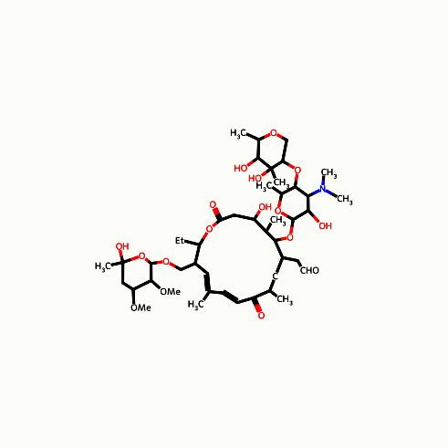 CCC1OC(=O)CC(O)C(C)C(OC2OC(C)C(OC3COC(C)C(O)C3(C)O)C(N(C)C)C2O)C(CC=O)CC(C)C(=O)/C=C/C(C)=C/C1COC1OC(C)(O)CC(OC)C1OC